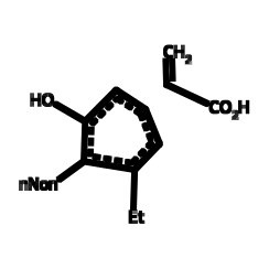 C=CC(=O)O.CCCCCCCCCc1c(O)cccc1CC